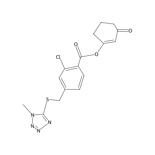 Cn1nnnc1SCc1ccc(C(=O)OC2=CC(=O)CCC2)c(Cl)c1